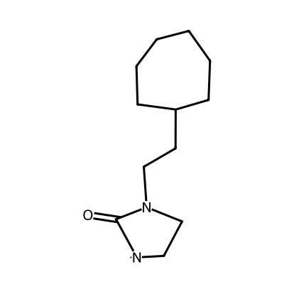 O=C1[N]CCN1CCC1CCCCCC1